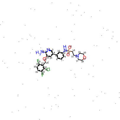 Nc1ncc(-c2cccc(NS(=O)(=O)CCN3CCOCC3)c2)cc1OCc1c(F)ccc(F)c1Cl